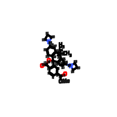 COC(=O)c1ccc2c(c1)C1(OC2=O)c2ccc(N3CCC3)cc2[Si](C)(C)c2cc(N3CCC3)ccc21